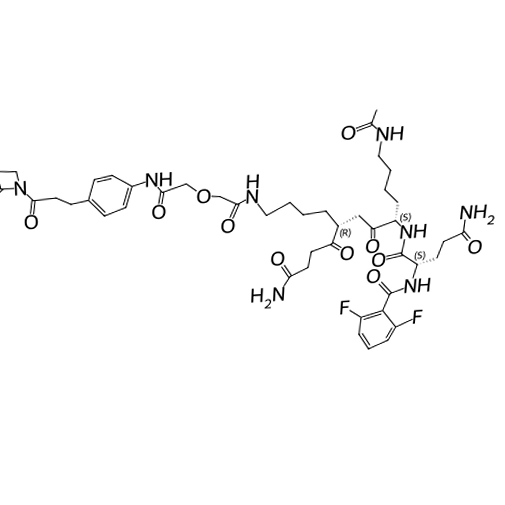 CC(=O)NCCCC[C@H](NC(=O)[C@H](CCC(N)=O)NC(=O)c1c(F)cccc1F)C(=O)C[C@@H](CCCCNC(=O)COCC(=O)Nc1ccc(CCC(=O)N2CCC2=O)cc1)C(=O)CCC(N)=O